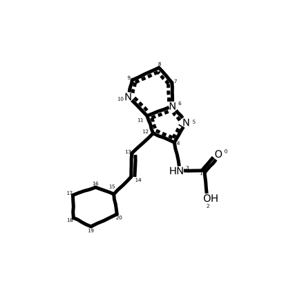 O=C(O)Nc1nn2cccnc2c1C=CC1CCCCC1